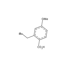 CCC(C)Cc1cc(OC)ccc1C(=O)O